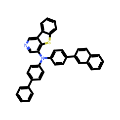 c1ccc(-c2ccc(N(c3ccc(-c4ccc5ccccc5c4)cc3)c3cncc4c3sc3ccccc34)cc2)cc1